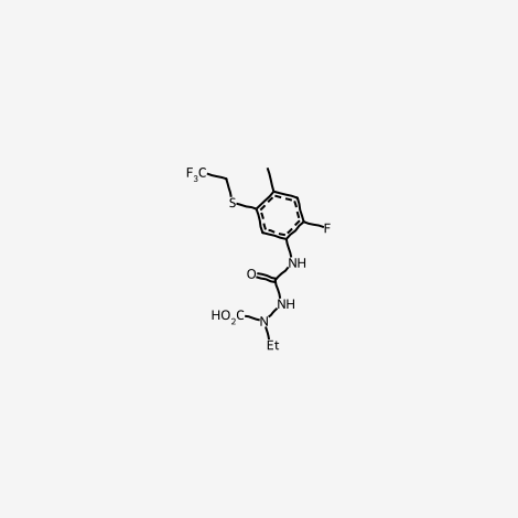 CCN(NC(=O)Nc1cc(SCC(F)(F)F)c(C)cc1F)C(=O)O